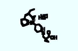 CCC(=Cc1ccccc1)C1C[C@@H]1NC1CCC(NCC2(C(=O)O)CC2)CC1.Cl.Cl